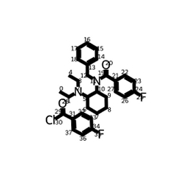 CCN(CC)C1CCCCC1N(Cc1ccccc1)C(=O)c1ccc(F)cc1.O=C(Cl)c1ccc(F)cc1